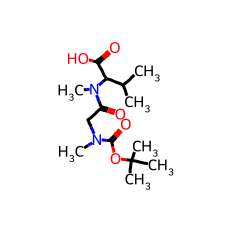 CC(C)C(C(=O)O)N(C)C(=O)CN(C)C(=O)OC(C)(C)C